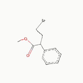 COC(=O)C(CC[Se])c1ccccc1